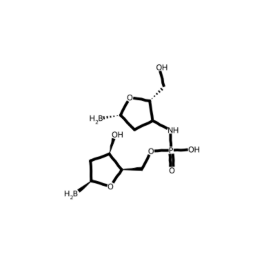 B[C@H]1CC(NP(=O)(O)OC[C@H]2O[C@@H](B)C[C@H]2O)[C@@H](CO)O1